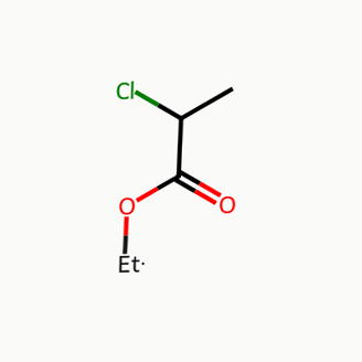 C[CH]OC(=O)C(C)Cl